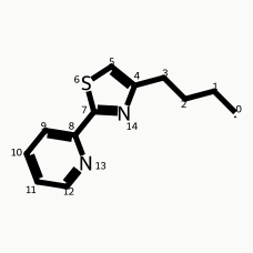 [CH2]CCCc1csc(-c2ccccn2)n1